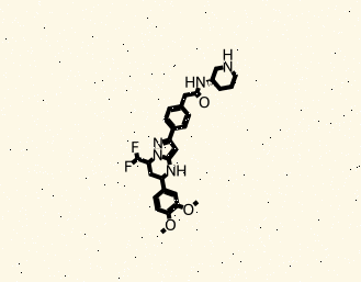 COc1ccc(C2CC(C(F)F)n3nc(-c4ccc(CC(=O)N[C@H]5CCCNC5)cc4)cc3N2)cc1OC